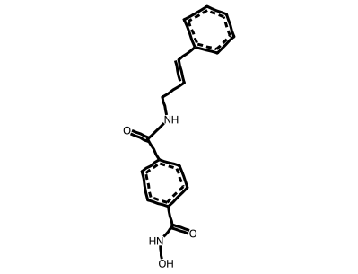 O=C(NO)c1ccc(C(=O)NCC=Cc2ccccc2)cc1